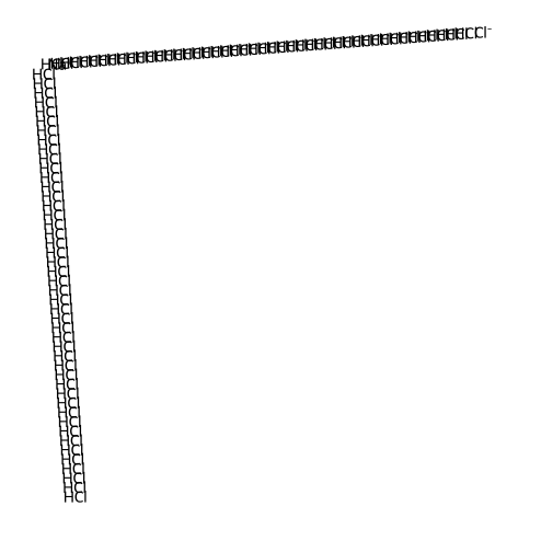 Cl.Cl.Cl.Cl.Cl.Cl.Cl.Cl.Cl.Cl.Cl.Cl.Cl.Cl.Cl.Cl.Cl.Cl.Cl.Cl.Cl.Cl.Cl.Cl.Cl.Cl.Cl.Cl.Cl.Cl.Cl.Cl.Cl.Cl.Cl.Cl.Cl.Cl.Cl.Cl.Cl.Cl.Cl.Cl.Cl.Cl.Cl.Cl.Cl.Cl.Cl.Cl.Cl.Cl.Cl.Cl.Cl.Cl.Cl.Cl.Cl.Cl.Cl.Cl.Cl.Cl.Cl.Cl.Cl.Cl.Cl.Cl.Cl.Cl.Cl.Cl.Cl.Cl.Cl.Cl.Cl.Cl.Cl.Cl.Cl.Cl.Cl.Cl.Cl.Cl.Cl.[Cl-].[Na+]